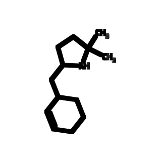 CC1(C)CCC(CC2C=CCCC2)N1